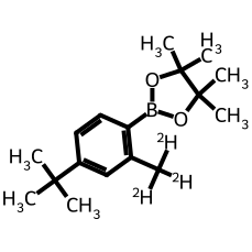 [2H]C([2H])([2H])c1cc(C(C)(C)C)ccc1B1OC(C)(C)C(C)(C)O1